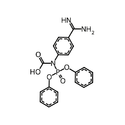 N=C(N)c1ccc(N(C(=O)O)P(=O)(Oc2ccccc2)Oc2ccccc2)cc1